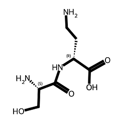 NCC[C@@H](NC(=O)[C@@H](N)CO)C(=O)O